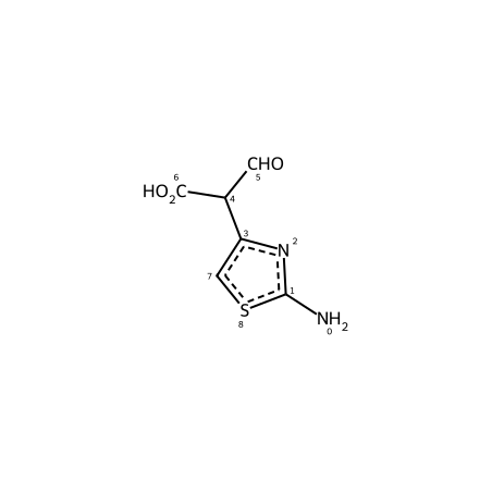 Nc1nc(C(C=O)C(=O)O)cs1